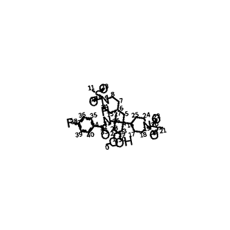 COCCC(CC1CCN(S(C)(=O)=O)CC1)(C1CCN(S(C)(=O)=O)CC1)C(C)(CCO)NC(=O)c1ccc(F)cc1